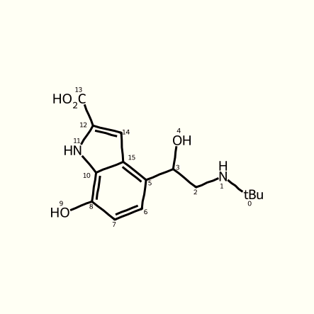 CC(C)(C)NCC(O)c1ccc(O)c2[nH]c(C(=O)O)cc12